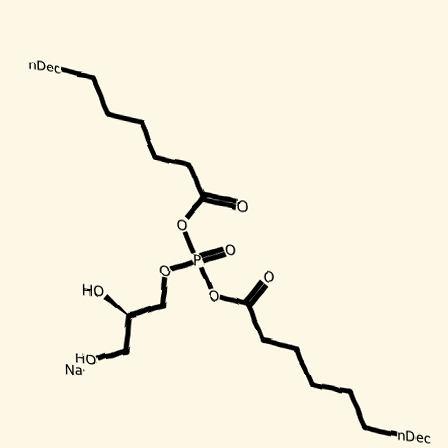 CCCCCCCCCCCCCCCC(=O)OP(=O)(OC[C@H](O)CO)OC(=O)CCCCCCCCCCCCCCC.[Na]